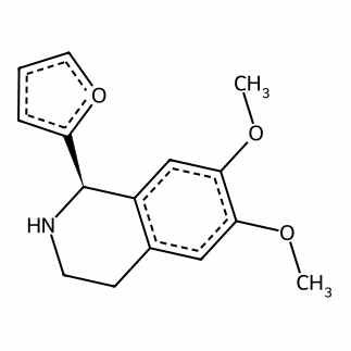 COc1cc2c(cc1OC)[C@H](c1ccco1)NCC2